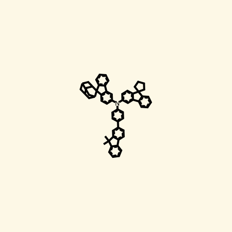 CC1(C)c2ccccc2-c2ccc(-c3ccc(N(c4ccc5c(c4)-c4ccccc4C54CCCC4)c4ccc5c(c4)-c4ccccc4C54C5CC6CC(C5)CC4C6)cc3)cc21